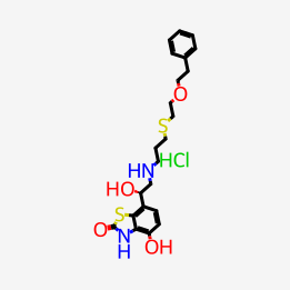 Cl.O=c1[nH]c2c(O)ccc([C@@H](O)CNCCCSCCOCCc3ccccc3)c2s1